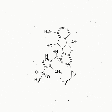 Cc1c(S(C)(=O)=O)c[nH]c1C(=O)N[C@@]12c3ccc([C@@H]4C[C@H]4C)cc3O[C@]1(O)c1cccc(N)c1C2O